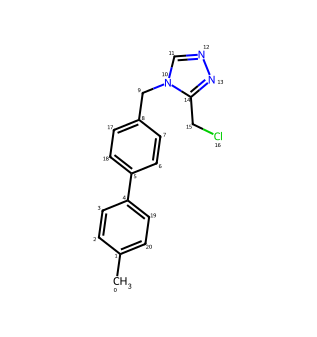 Cc1ccc(-c2ccc(Cn3cnnc3CCl)cc2)cc1